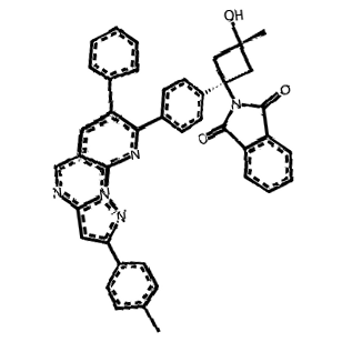 Cc1ccc(-c2cc3ncc4cc(-c5ccccc5)c(-c5ccc([C@]6(N7C(=O)c8ccccc8C7=O)C[C@](C)(O)C6)cc5)nc4n3n2)cc1